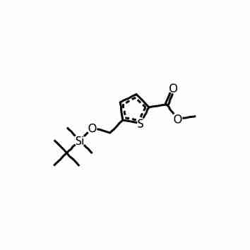 COC(=O)c1ccc(CO[Si](C)(C)C(C)(C)C)s1